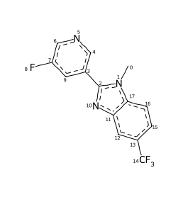 Cn1c(-c2cncc(F)c2)nc2cc(C(F)(F)F)ccc21